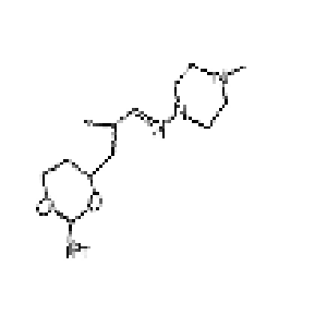 CC(/C=N/N1CCN(C)CC1)CC1CCOC(C(C)C)O1